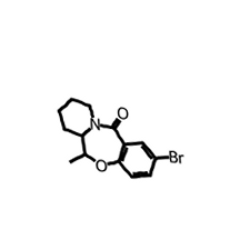 CC1Oc2ccc(Br)cc2C(=O)N2CCCCC12